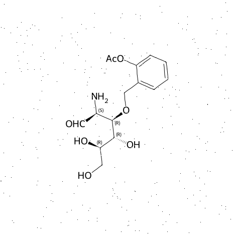 CC(=O)Oc1ccccc1CO[C@@H]([C@H](O)[C@H](O)CO)[C@H](N)C=O